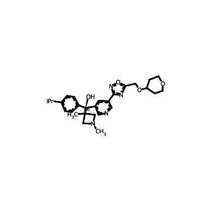 CC(C)c1ccc([C@](O)(c2cncc(-c3noc(COC4CCOCC4)n3)c2)C2(C)CN(C)C2)cc1